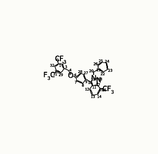 FC(F)(F)c1cc(COc2ccc(-c3c4cccc(C(F)(F)F)c4nn3Cc3ccccc3)cc2)cc(C(F)(F)F)c1